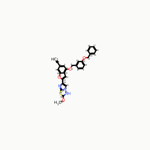 C#Cc1cc(OCc2cccc(OCc3ccccc3)c2)c2cc(-c3cn4c(n3)SC(OC)N4)oc2c1